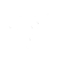 CCOC(=O)C1=C(C)N(c2cccc(C(F)(F)F)c2)C(=O)N(CC(=O)N2CCOCC2)C1c1ccc(C#N)cc1